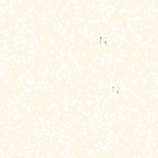 Cc1cnc(C(=O)C2CC2)cn1